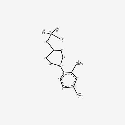 COc1cc([N+](=O)[O-])ccc1N1CCC(O[Si](C(C)C)(C(C)C)C(C)C)CC1